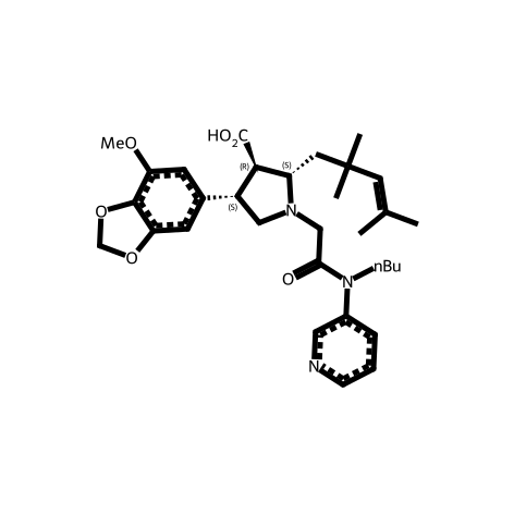 CCCCN(C(=O)CN1C[C@H](c2cc(OC)c3c(c2)OCO3)[C@@H](C(=O)O)[C@@H]1CC(C)(C)C=C(C)C)c1cccnc1